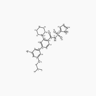 CC(C)COc1cc(F)cc(-c2ccc(C(=O)NS(=O)(=O)c3ccn[nH]3)c(N3CCCCC3)n2)c1